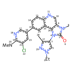 CCn1cc(-n2c(=O)n(C)c3cnc4ccc(-c5cnc(NC)c(Cl)c5)cc4c32)c(C)n1